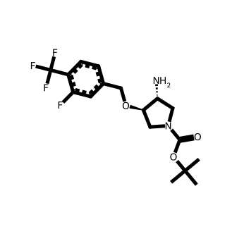 CC(C)(C)OC(=O)N1C[C@@H](N)[C@H](OCc2ccc(C(F)(F)F)c(F)c2)C1